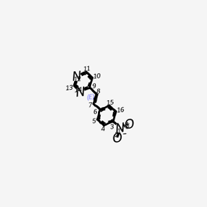 O=[N+]([O-])c1ccc(/C=C/c2ccncn2)cc1